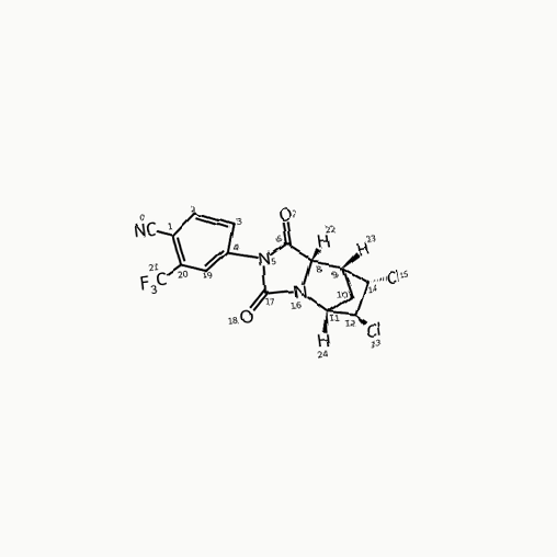 N#Cc1ccc(N2C(=O)[C@@H]3[C@H]4C[C@H]([C@H](Cl)[C@H]4Cl)N3C2=O)cc1C(F)(F)F